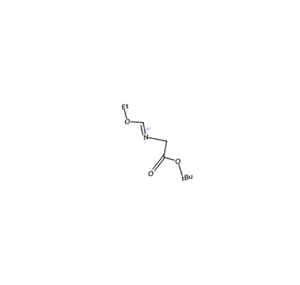 CCO/C=N/CC(=O)OC(C)(C)C